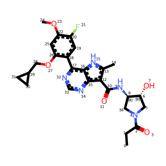 CCC(=O)N1C[C@@H](O)[C@H](NC(=O)c2c(C)[nH]c3c(-c4cc(F)c(OC)cc4OCC4CC4)ncnc23)C1